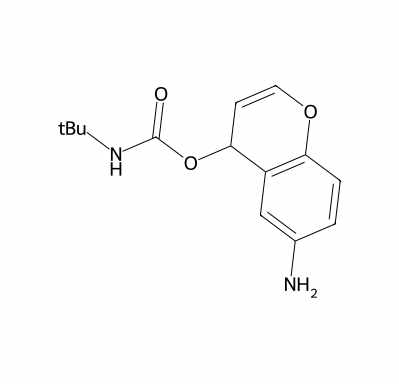 CC(C)(C)NC(=O)OC1C=COc2ccc(N)cc21